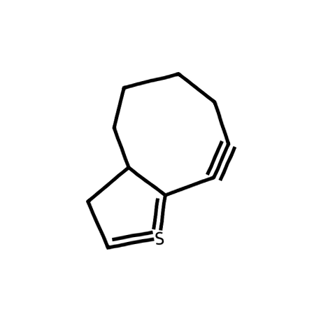 C1#CC2=S=CCC2CCCC1